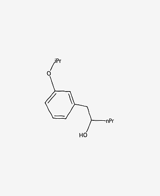 CCCC(O)Cc1cccc(OC(C)C)c1